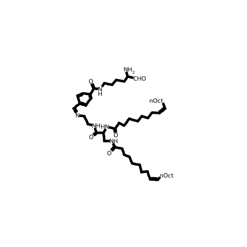 CCCCCCCC/C=C\CCCCCCCC(=O)NCC(NC(=O)CCCCCCC/C=C\CCCCCCCC)C(=O)NCC/N=C\c1ccc(C(=O)NCCCCC(N)C=O)cc1